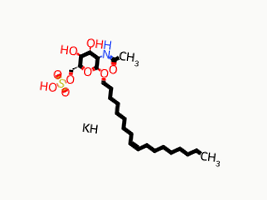 CCCCCCCC/C=C\CCCCCCCCO[C@H]1O[C@H](COS(=O)(=O)O)[C@@H](O)[C@H](O)[C@@H]1NC(C)=O.[KH]